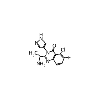 CC(N)c1nc2ccc(F)c(Cl)c2c(=O)n1-c1cn[nH]c1